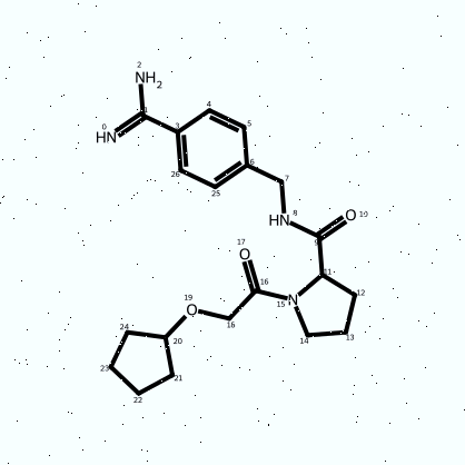 N=C(N)c1ccc(CNC(=O)C2CCCN2C(=O)COC2CCCC2)cc1